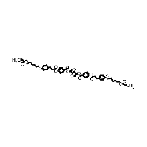 C=CC(=O)OCCCCCCOc1ccc(CCC(=O)Oc2ccc(C(=O)O[C@@H]3COC4C3OC[C@H]4OC(=O)c3ccc(OC(=O)CCc4ccc(OCCCCCCOC(=O)C=C)cc4)cc3)cc2)cc1